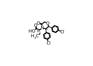 CC[C@H](C(=O)O)N1C(=O)CO[C@@H](c2ccc(Cl)cc2)[C@H]1c1ccc(Cl)cc1